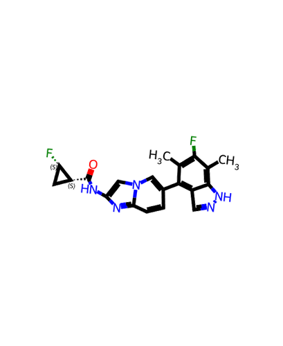 Cc1c(F)c(C)c2[nH]ncc2c1-c1ccc2nc(NC(=O)[C@@H]3C[C@@H]3F)cn2c1